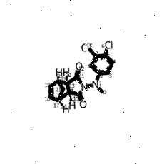 CN(c1ccc(Cl)c(Cl)c1)N1C(=O)[C@@H]2[C@H](C1=O)[C@@H]1C=C[C@H]2C1